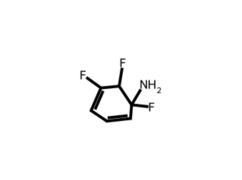 NC1(F)C=CC=C(F)C1F